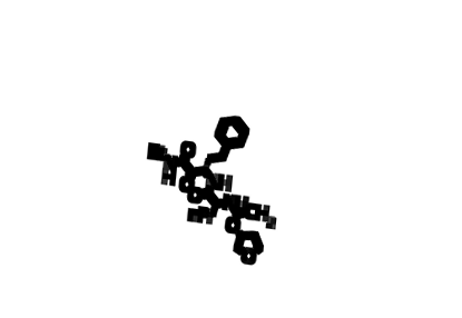 C=C(N[C@@H](CCC)C(=O)N[C@@H](CCc1ccccc1)C(=O)C(=O)NCC)O[C@H]1CCOC1